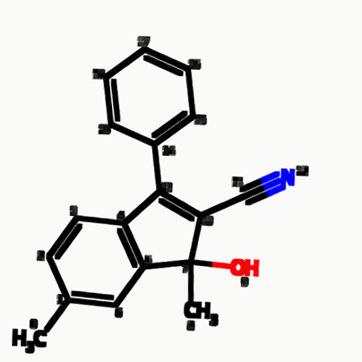 Cc1ccc2c(c1)C(C)(O)C(C#N)=C2c1ccccc1